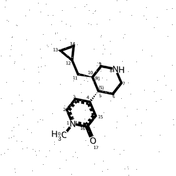 Cn1ccc([C@H]2CCNC[C@@H]2CC2CC2)cc1=O